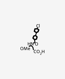 COCC(CCC(=O)O)NC(=O)c1ccc(-c2ccc(Cl)cc2)cc1